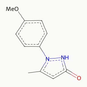 COc1ccc(-n2[nH]c(=O)cc2C)cc1